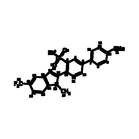 CCS(=O)(=O)c1cc(-c2ccc(SC)nc2)cnc1-c1nc2cc(C(F)(F)F)ncc2n1C